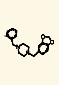 [c]1ccccc1CN1CCN(Cc2ccc3c(c2)OCO3)CC1